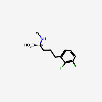 CCN[C@@H](CCCc1cccc(F)c1F)C(=O)O